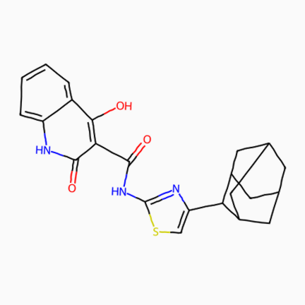 O=C(Nc1nc(C2C3CC4CC(C3)CC2C4)cs1)c1c(O)c2ccccc2[nH]c1=O